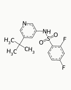 CC(C)(C)c1cncc(NS(=O)(=O)c2ccc(F)cc2F)c1